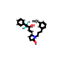 O=C(O)c1cccc(CCCN2C(=O)CC[C@@H]2C=CC(O)C(F)(F)c2ccccc2)c1